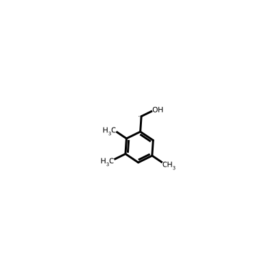 Cc1cc(C)c(C)c([CH]O)c1